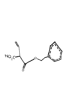 C=CC(C(=O)O)C(=O)OCc1ccccc1